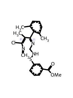 C=N/C(Cl)=C(C)\C(=N/CNSc1cccc(C(=O)OC)c1)c1c(C)cccc1C